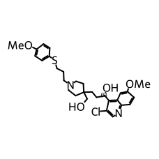 COc1ccc(SCCCN2CCC(CO)(CC[C@H](O)c3c(Cl)cnc4ccc(OC)cc34)CC2)cc1